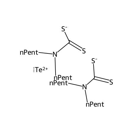 CCCCCN(CCCCC)C(=S)[S-].CCCCCN(CCCCC)C(=S)[S-].[Te+2]